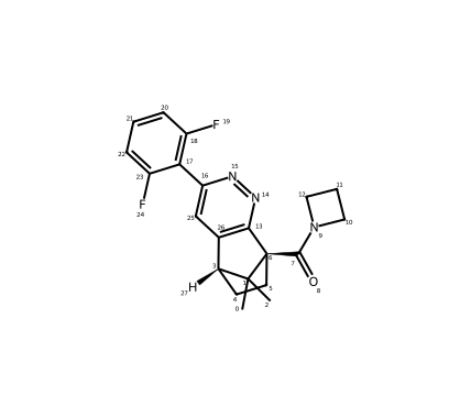 CC1(C)[C@@H]2CC[C@@]1(C(=O)N1CCC1)c1nnc(-c3c(F)cccc3F)cc12